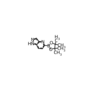 CC1(C)OB(c2ccc3[nH]ncc3n2)OC1(C)C